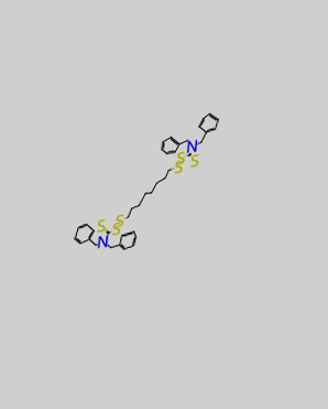 S=C(SSCCCCCCCCSSC(=S)N(Cc1ccccc1)Cc1ccccc1)N(Cc1ccccc1)Cc1ccccc1